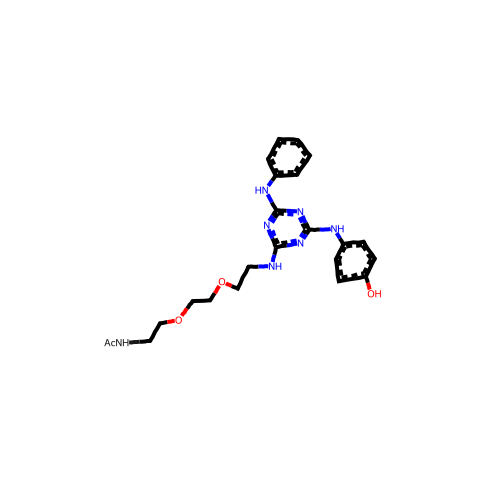 CC(=O)NCCOCCOCCNc1nc(Nc2ccccc2)nc(Nc2ccc(O)cc2)n1